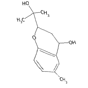 Cc1ccc2c(c1)C(O)CC(C(C)(C)O)O2